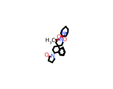 CCOC(=O)N1C2CCC1CC(N1CCC3(CC[C@H](N4CCCC4=O)c4ccccc43)CC1)C2